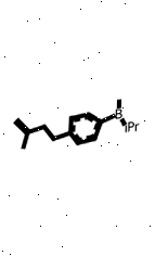 C=C(C)CCc1ccc(B(C)C(C)C)cc1